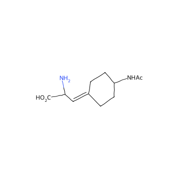 CC(=O)NC1CCC(=CC(N)C(=O)O)CC1